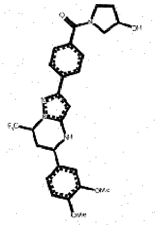 COc1ccc(C2CC(C(F)(F)F)n3nc(-c4ccc(C(=O)N5CCC(O)C5)cc4)cc3N2)cc1OC